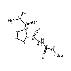 C[C@H](N)C(=O)N1CCC[C@H]1C(=O)NNC(=O)OC(C)(C)C